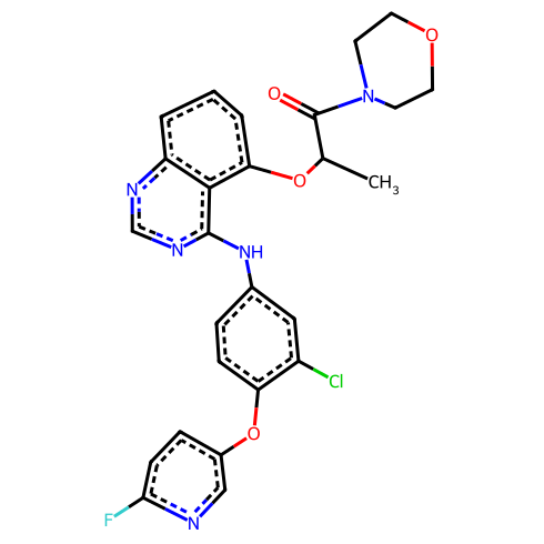 CC(Oc1cccc2ncnc(Nc3ccc(Oc4ccc(F)nc4)c(Cl)c3)c12)C(=O)N1CCOCC1